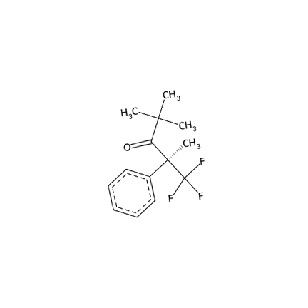 CC(C)(C)C(=O)[C@](C)(c1ccccc1)C(F)(F)F